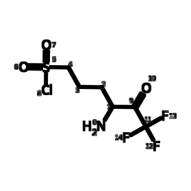 NC(CCCS(=O)(=O)Cl)C(=O)C(F)(F)F